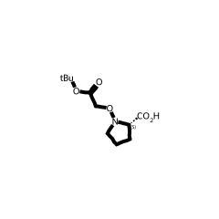 CC(C)(C)OC(=O)CON1CCC[C@H]1C(=O)O